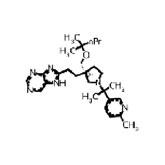 CCCC(C)(C)OC[C@]1(CCc2nc3ncncc3[nH]2)CCN(C(C)(C)c2ccc(C)nc2)C1